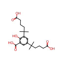 CC(C)(CCCC(=O)O)c1cc(C(=O)O)c(O)c(C(C)(C)CCCC(=O)O)c1